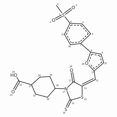 CS(=O)(=O)c1ccc(-c2ccc(C=C3SC(=S)N(C4CCC(C(=O)O)CC4)C3=O)o2)cc1